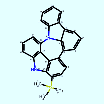 CS(C)(C)c1ccc2c3cccc4c5ccccc5n(c5cccc6[nH]c1c2c65)c34